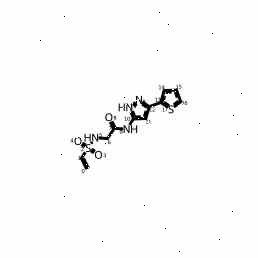 C=CS(=O)(=O)NCC(=O)Nc1cc(-c2cccs2)n[nH]1